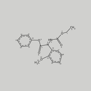 CCOC(=O)NN(C(=O)Oc1ccccc1)c1ccccc1OC